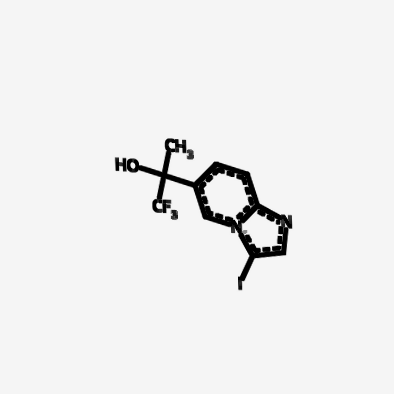 CC(O)(c1ccc2ncc(I)n2c1)C(F)(F)F